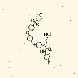 CCCCN(C(=O)Nc1ccc(F)cc1F)C1CCN(Cc2ccc(Oc3ccc(S(=O)(=O)N4CCOCC4)cc3)cc2)CC1.Cl